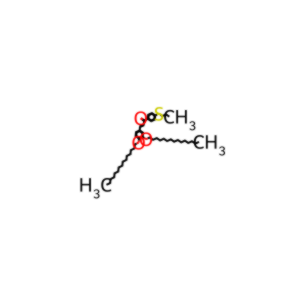 CCCCCCCCCCCCCCCOc1ccc(C=CC(=O)c2ccc(SCCC)cc2)cc1OCCCCCCCCCCCCCCC